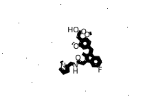 COc1cc(C=C2C(C)=C(CC(=O)NCc3cccn3C)c3cc(F)ccc32)cc(OC)c1CC(=O)O